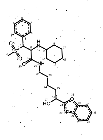 CS(=O)(=O)C(c1ccccc1)C(NC1CCCCC1)C(=O)NCCCCC(O)c1nc2ccccc2o1